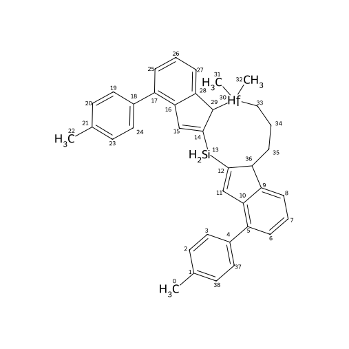 Cc1ccc(-c2cccc3c2C=C2[SiH2]C4=Cc5c(-c6ccc(C)cc6)cccc5[CH]4[Hf]([CH3])([CH3])[CH2]CCC23)cc1